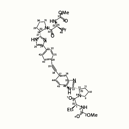 CC[C@H](NC(=O)OC)C(=O)N1CCC[C@H]1c1nc2cc(C#Cc3ccc(-c4c[nH]c([C@@H]5CCCN5C(=O)[C@@H](NC(=O)OC)C(C)C)n4)cc3)ccc2[nH]1